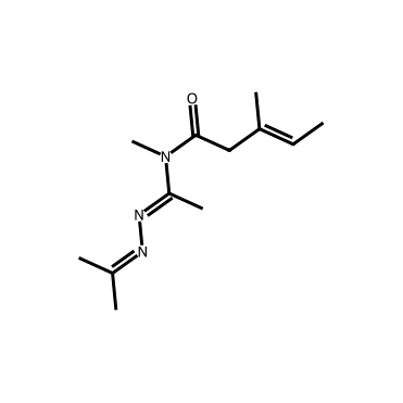 C/C=C(\C)CC(=O)N(C)/C(C)=N/N=C(C)C